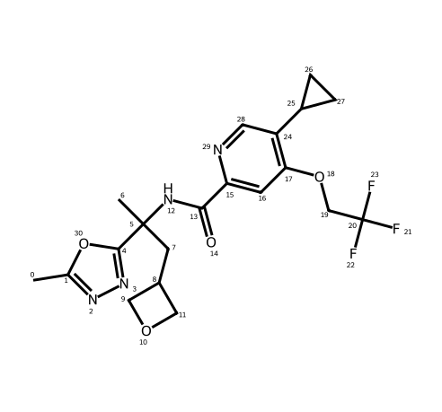 Cc1nnc(C(C)(CC2COC2)NC(=O)c2cc(OCC(F)(F)F)c(C3CC3)cn2)o1